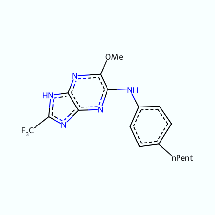 CCCCCc1ccc(Nc2nc3nc(C(F)(F)F)[nH]c3nc2OC)cc1